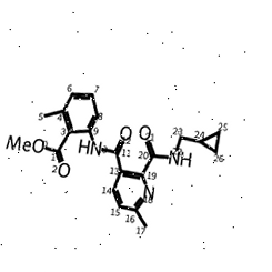 COC(=O)c1c(C)cccc1NC(=O)c1ccc(C)nc1C(=O)NCC1CC1